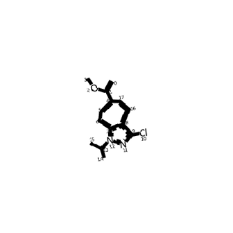 C=C(OC)C1=CC=c2c(c(Cl)nn2C(C)C)=C=C1